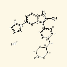 Cl.Oc1[nH]c2ccc(-c3cccs3)cc2c1-c1ccc(CN2CCOCC2)cn1